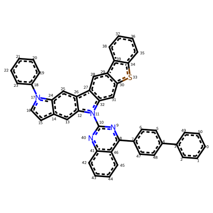 c1ccc(-c2ccc(-c3nc(-n4c5cc6ccn(-c7ccccc7)c6cc5c5cc6c(cc54)sc4ccccc46)nc4ccccc34)cc2)cc1